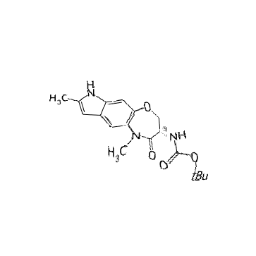 Cc1cc2cc3c(cc2[nH]1)OC[C@H](NC(=O)OC(C)(C)C)C(=O)N3C